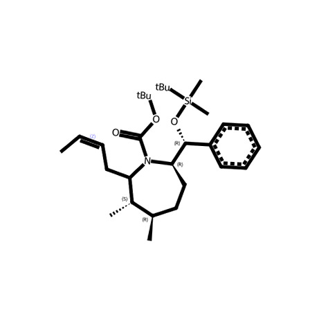 C/C=C\CC1[C@@H](C)[C@H](C)CC[C@H]([C@H](O[Si](C)(C)C(C)(C)C)c2ccccc2)N1C(=O)OC(C)(C)C